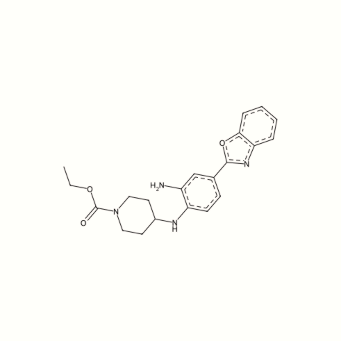 CCOC(=O)N1CCC(Nc2ccc(-c3nc4ccccc4o3)cc2N)CC1